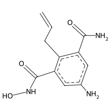 C=CCc1c(C(N)=O)cc(N)cc1C(=O)NO